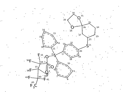 O=S(=O)(OS(c1ccccc1)(c1ccccc1)c1ccc(SC2CCCC3(C2)OCCO3)cc1)C(F)(F)C(F)(F)C(F)(F)C(F)(F)F